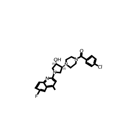 Cc1cc(N2C[C@H](O)[C@@H](N3CCN(C(=O)c4ccc(Cl)cc4)CC3)C2)nc2ccc(F)cc12